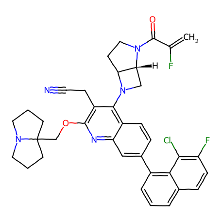 C=C(F)C(=O)N1CCC2[C@H]1CN2c1c(CC#N)c(OCC23CCCN2CCC3)nc2cc(-c3cccc4ccc(F)c(Cl)c34)ccc12